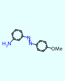 COc1ccc(N=Nc2cccc(N)c2)cc1